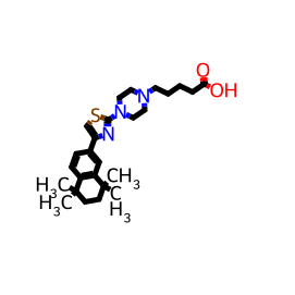 CC1(C)CCC(C)(C)c2cc(-c3csc(N4CCN(CCCCC(=O)O)CC4)n3)ccc21